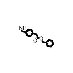 NCc1ccc(CC(=O)OCc2ccccc2)cc1